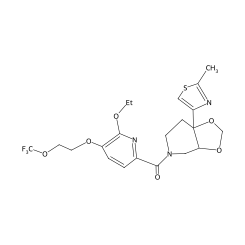 CCOc1nc(C(=O)N2CCC3(c4csc(C)n4)OCOC3C2)ccc1OCCOC(F)(F)F